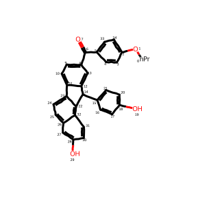 CCCOc1ccc(C(=O)c2ccc3c(c2)C(c2ccc(O)cc2)c2c-3ccc3cc(O)ccc23)cc1